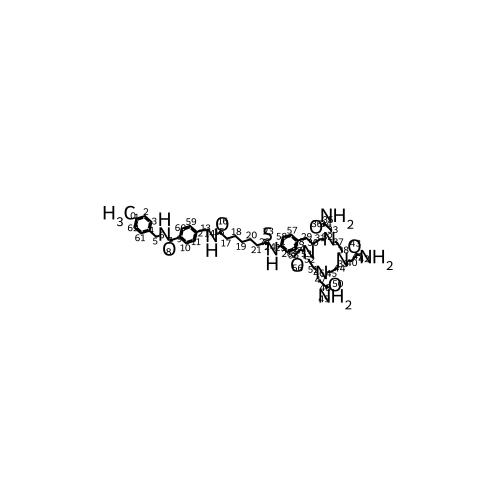 Cc1ccc(CNC(=O)c2ccc(CNC(=O)CCCCCC(=S)Nc3ccc(CC4CN(CC(N)=O)CCN(CC(N)=O)CCN(CC(N)=O)CCN4CC=O)cc3)cc2)cc1